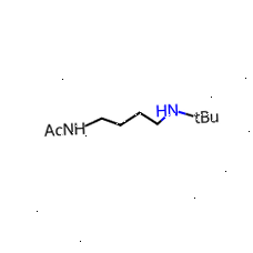 CC(=O)NCCCCNC(C)(C)C